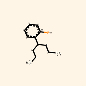 CCCC(CCC)c1ccccc1[P]